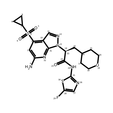 Nc1cc(S(=O)(=O)C2CC2)c2cnn([C@@H](CC3CCOCC3)C(=O)Nc3ncc(F)s3)c2n1